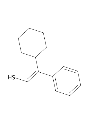 SC=C(c1ccccc1)C1CCCCC1